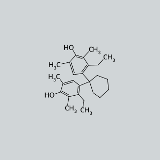 CCc1c(C2(c3cc(C)c(O)c(C)c3CC)CCCCC2)cc(C)c(O)c1C